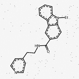 CCn1c2ccccc2c2cc(C(=O)NCCc3ccncc3)ccc21